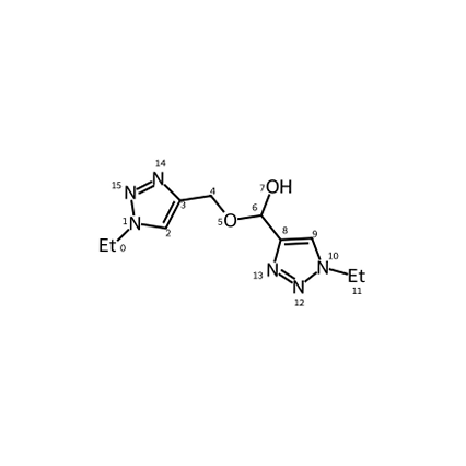 CCn1cc(COC(O)c2cn(CC)nn2)nn1